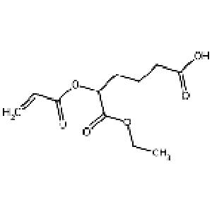 C=CC(=O)OC(CCCC(=O)O)C(=O)OCC